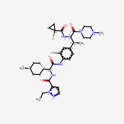 CCn1nccc1C(=O)N[C@H](C(=O)Nc1ccc([C@H](C)[C@@H](NC(=O)C2(F)CC2)C(=O)N2CCN(C)CC2)cc1F)[C@H]1CC[C@H](C)CC1